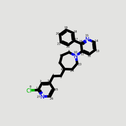 Clc1cc(CCC2CCCN(c3cccnc3-c3ccccc3)CC2)ccn1